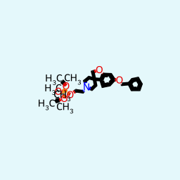 CC(C)(C)OP(=O)(OCCN1CCC2(CC1)COc1cc(OCc3ccccc3)ccc12)OC(C)(C)C